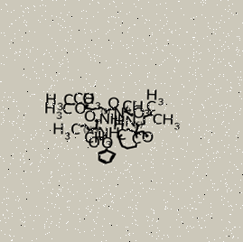 CC[C@H](C)[C@H](NC(=O)Oc1ccccc1)C(=O)N[C@@H](CCC(=O)OC(C)(C)C)C(=O)N[C@@H](C)C(=O)N[C@@H](CCC(C)C)C1(C=O)CCCCCCC1